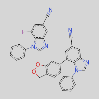 N#Cc1cc(-c2ccc3c(c2)OOC3)c2c(c1)ncn2-c1ccccc1.N#Cc1cc(I)c2c(c1)ncn2-c1ccccc1